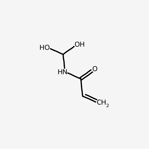 C=CC(=O)NC(O)O